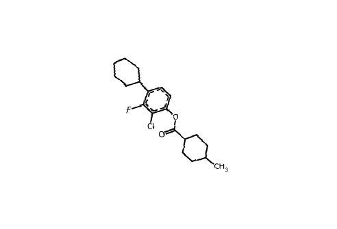 CC1CCC(C(=O)Oc2ccc(C3CCCCC3)c(F)c2Cl)CC1